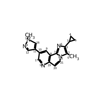 Cc1c(C2CC2)nc2c3cc(-c4cnn(C)c4)cnc3ccn12